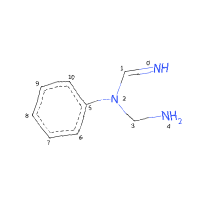 N=CN(CN)c1ccccc1